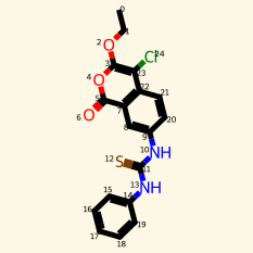 CCOc1oc(=O)c2cc(NC(=S)Nc3ccccc3)ccc2c1Cl